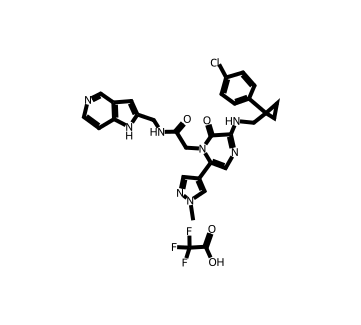 Cn1cc(-c2cnc(NCC3(c4ccc(Cl)cc4)CC3)c(=O)n2CC(=O)NCc2cc3cnccc3[nH]2)cn1.O=C(O)C(F)(F)F